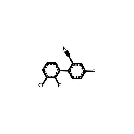 N#Cc1cc(F)ccc1-c1cccc(Cl)c1F